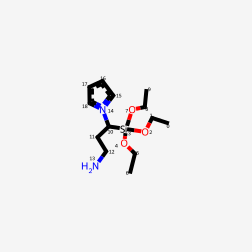 CCO[Si](OCC)(OCC)C(CCN)n1cccc1